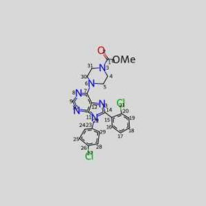 COC(=O)N1CCN(c2ncnc3c2nc(-c2ccccc2Cl)n3-c2ccc(Cl)cc2)CC1